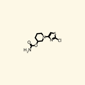 NC(=O)OC1CCCN(c2csc(Cl)n2)C1